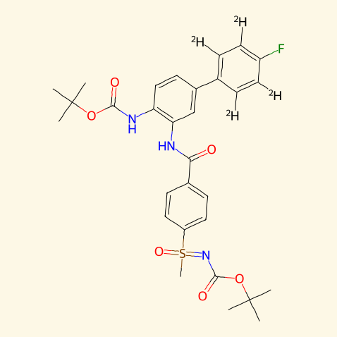 [2H]c1c([2H])c(-c2ccc(NC(=O)OC(C)(C)C)c(NC(=O)c3ccc(S(C)(=O)=NC(=O)OC(C)(C)C)cc3)c2)c([2H])c([2H])c1F